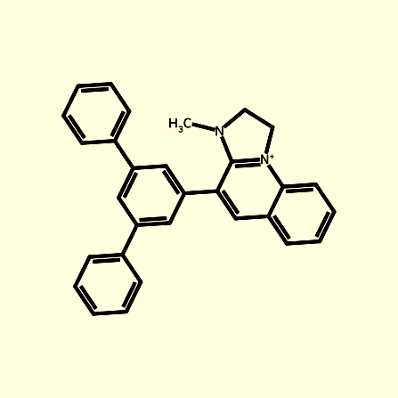 CN1CC[n+]2c1c(-c1cc(-c3ccccc3)cc(-c3ccccc3)c1)cc1ccccc12